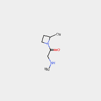 CC(C)(C)NCC(=O)N1CCC1C#N